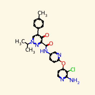 Cc1ccc(-c2cn(C(C)C)nc(C(=O)Nc3ccc(Oc4ccnc(N)c4Cl)nc3)c2=O)cc1